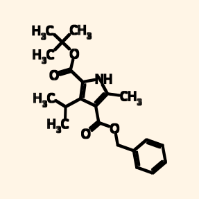 Cc1[nH]c(C(=O)OC(C)(C)C)c(C(C)C)c1C(=O)OCc1ccccc1